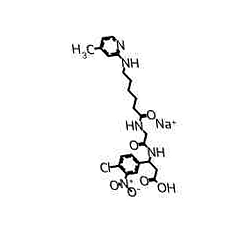 Cc1ccnc(NCCCCCC(=O)NCC(=O)NC(CC(=O)O)c2ccc(Cl)c([N+](=O)[O-])c2)c1.[Na+]